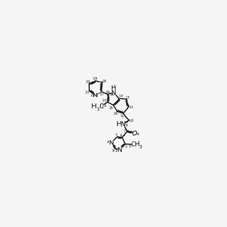 Cc1ncncc1C(=O)NCc1ccc2[nH]c(-c3ccccn3)c(C)c2c1